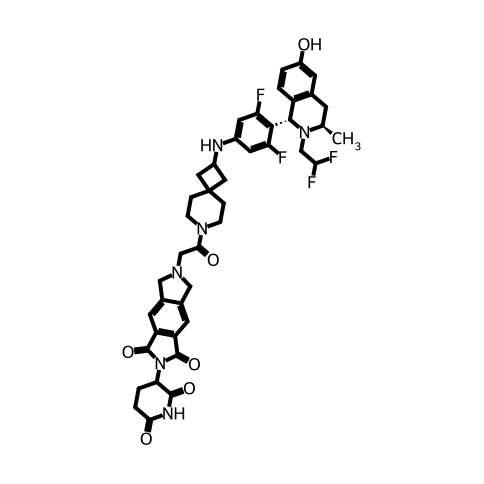 C[C@@H]1Cc2cc(O)ccc2[C@@H](c2c(F)cc(NC3CC4(CCN(C(=O)CN5Cc6cc7c(cc6C5)C(=O)N(C5CCC(=O)NC5=O)C7=O)CC4)C3)cc2F)N1CC(F)F